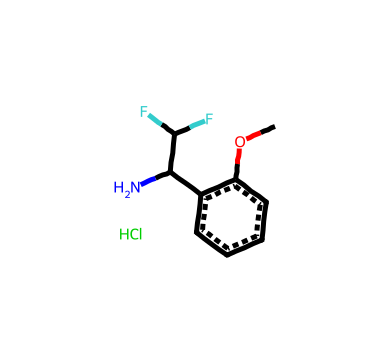 COc1ccccc1C(N)C(F)F.Cl